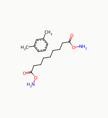 Cc1cccc(C)c1.NOC(=O)CCCCCCCC(=O)ON